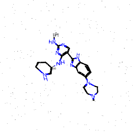 CCCNc1ncc(-c2nc3cc(N4CCN(C)CC4)ccc3[nH]2)c(N[C@H]2CCCNC2)n1